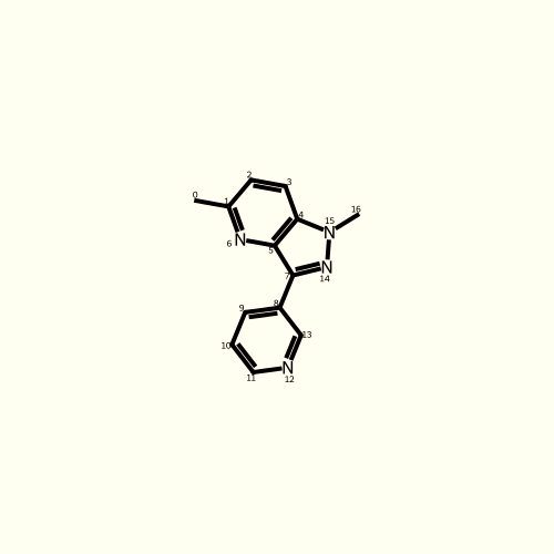 Cc1ccc2c(n1)c(-c1cccnc1)nn2C